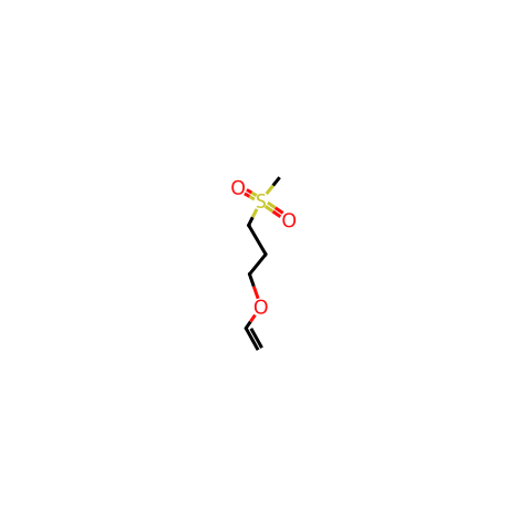 C=COCCCS(C)(=O)=O